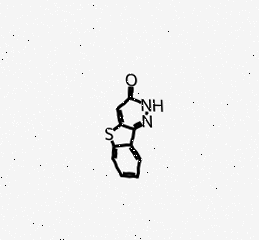 O=c1cc2sc3ccccc3c2n[nH]1